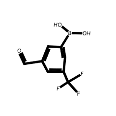 O=Cc1cc(B(O)O)cc(C(F)(F)F)c1